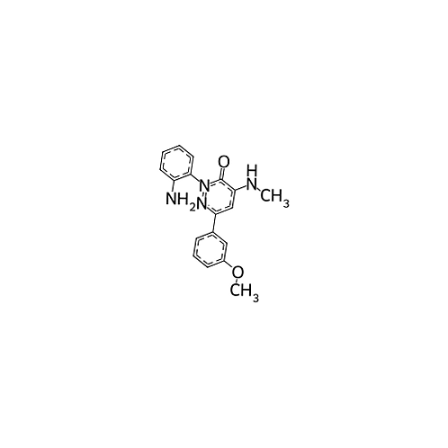 CNc1cc(-c2cccc(OC)c2)nn(-c2ccccc2N)c1=O